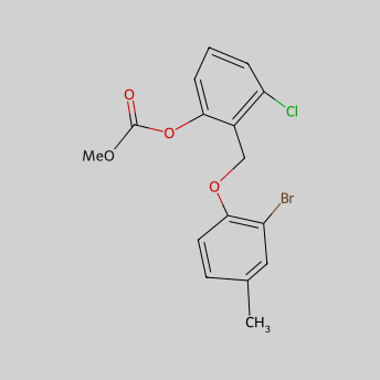 COC(=O)Oc1cccc(Cl)c1COc1ccc(C)cc1Br